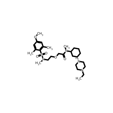 CCN1CCN([C@H]2CCCC(N(C)C(=O)COCCN(C)S(=O)(=O)c3c(C)cc(OC)cc3C)C2)CC1